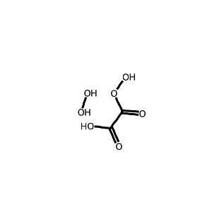 O=C(O)C(=O)OO.OO